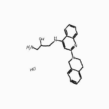 Cl.NCC(O)CNc1cc(N2CCc3ccccc3C2)nc2ccccc12